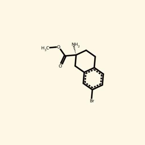 COC(=O)[C@@]1(N)CCc2ccc(Br)cc2C1